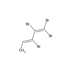 C/C=C(\Br)C(Br)=C(Br)Br